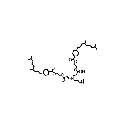 CC(C)CCCC(C)CCCC1CCC(C(=O)OCCOC(=O)CCN(CCCN(C)C)CCC(O)OCCOC(=O)C2CCC(CCCC(C)CCCC(C)C)CC2)CC1